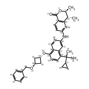 C[C@@H]1OC(=O)c2ccc(Nc3cc4c(C(C)(N)C5CC5)cnc(O[C@H]5C[C@H](OCc6ccccc6)C5)c4cn3)nc2[C@H]1C